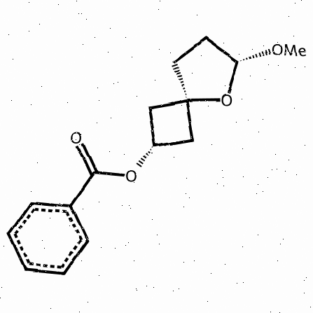 CO[C@H]1CC[C@]2(C[C@@H](OC(=O)c3ccccc3)C2)O1